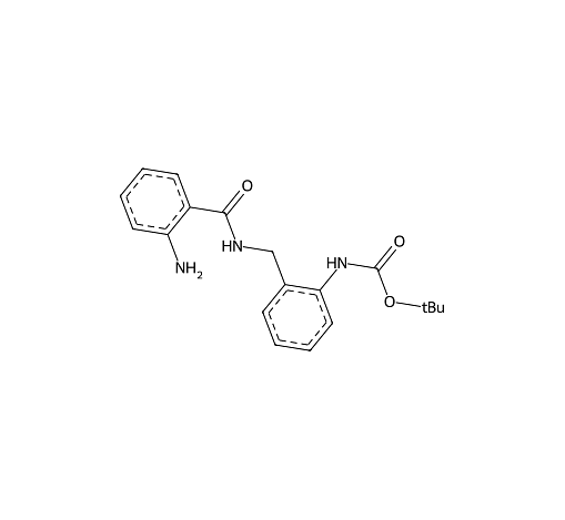 CC(C)(C)OC(=O)Nc1ccccc1CNC(=O)c1ccccc1N